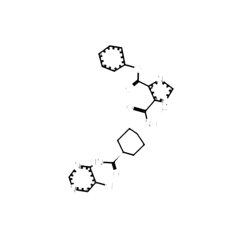 O=C(Oc1ccccc1)c1nc[nH]c1C(=O)N[C@H]1CC[C@H](C(=O)Nc2ncncc2Cl)CC1